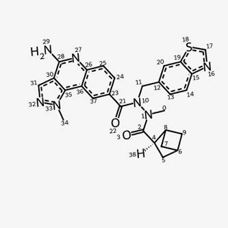 CN(C(=O)[C@@H]1CC2CC1C2)N(Cc1ccc2ncsc2c1)C(=O)c1ccc2nc(N)c3cnn(C)c3c2c1